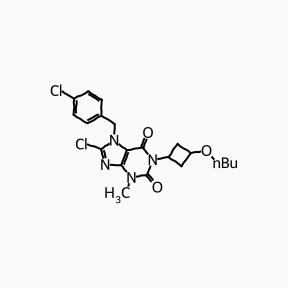 CCCCOC1CC(n2c(=O)c3c(nc(Cl)n3Cc3ccc(Cl)cc3)n(C)c2=O)C1